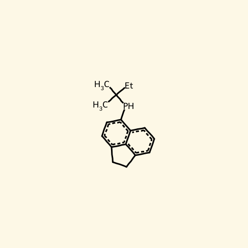 CCC(C)(C)Pc1ccc2c3c(cccc13)CC2